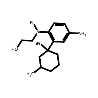 CCN(CCO)c1ccc(N)cc1C1(C(C)C)CCCC(C)C1